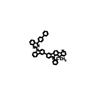 CC1(C)c2cccnc2-c2ccc3c4cc(-c5ccc6c(c5)c5ccccc5n6-c5nc(-c6ccc(-c7ccccc7)cc6)c6ccccc6n5)ccc4n(-c4ccccc4)c3c21